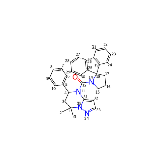 CC1(C)CC(c2ccccc2)N(C(=O)N2CCCC2(c2ccccc2)c2ccccc2)c2ccnn21